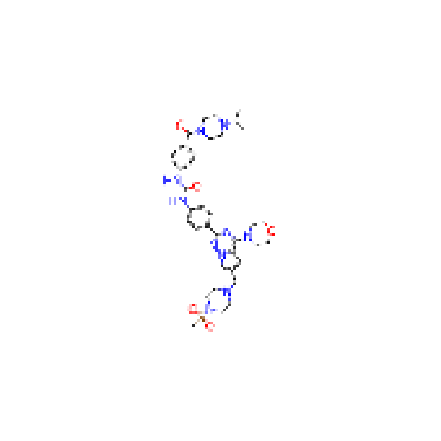 CC(C)N1CCN(C(=O)c2ccc(NC(=O)Nc3ccc(-c4nc(N5CCOCC5)c5cc(CN6CCN(S(C)(=O)=O)CC6)cn5n4)cc3)cc2)CC1